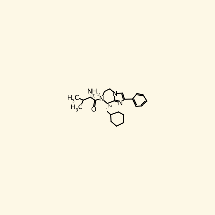 CC(C)[C@H](N)C(=O)N1CCn2cc(-c3ccccc3)nc2[C@@H]1CC1CCCCC1